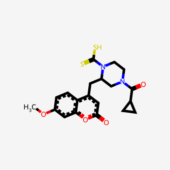 COc1ccc2c(CC3CN(C(=O)C4CC4)CCN3C(=S)S)cc(=O)oc2c1